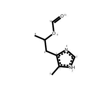 Cc1[nH]cnc1CC(C)OC=O